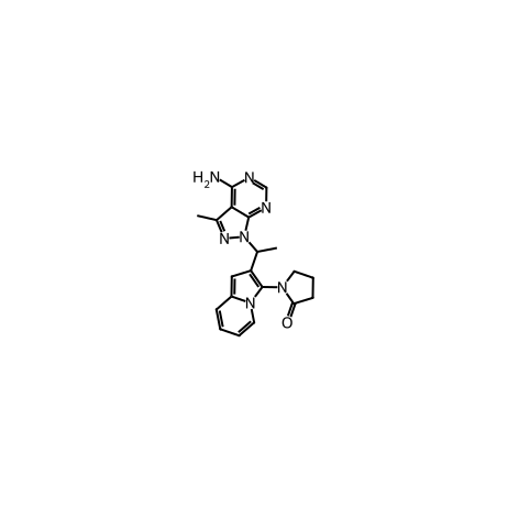 Cc1nn(C(C)c2cc3ccccn3c2N2CCCC2=O)c2ncnc(N)c12